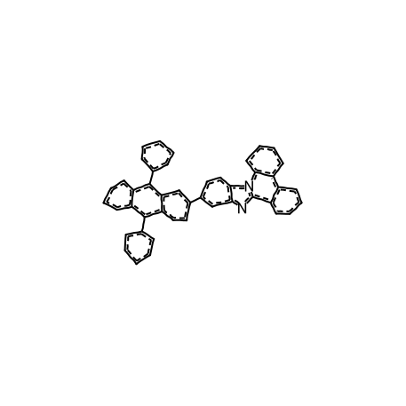 c1ccc(-c2c3ccccc3c(-c3ccccc3)c3cc(-c4ccc5c(c4)nc4c6ccccc6c6ccccc6n54)ccc23)cc1